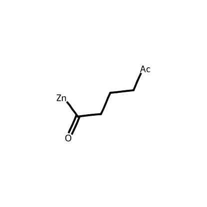 CC(=O)CCC[C](=O)[Zn]